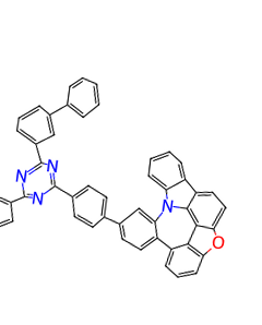 c1ccc(-c2cccc(-c3nc(-c4ccccc4)nc(-c4ccc(-c5ccc6c7cccc8oc9ccc%10c%11ccccc%11n(c6c5)c%10c9c87)cc4)n3)c2)cc1